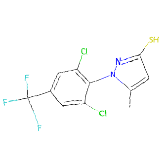 Cc1cc(S)nn1-c1c(Cl)cc(C(F)(F)F)cc1Cl